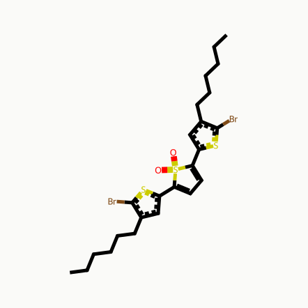 CCCCCCc1cc(C2=CC=C(c3cc(CCCCCC)c(Br)s3)S2(=O)=O)sc1Br